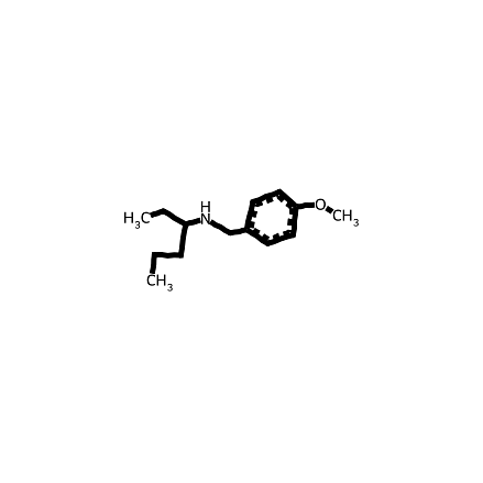 CCCC(CC)NCc1ccc(OC)cc1